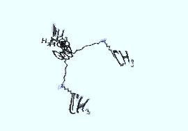 CCCCCCCC/C=C\CCCCCCCC(=O)OCC(COP(=O)(O)OCCN(C)C)OC(=O)CCCCCCC/C=C\CCCCCCCC